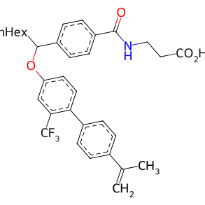 C=C(C)c1ccc(-c2ccc(OC(CCCCCC)c3ccc(C(=O)NCCC(=O)O)cc3)cc2C(F)(F)F)cc1